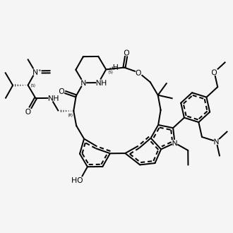 C=[N+](C)[C@H](C(=O)NC[C@H]1Cc2cc(O)cc(c2)-c2ccc3c(c2)c(c(-c2ccc(COC)cc2CN(C)C)n3CC)CC(C)(C)COC(=O)[C@@H]2CCCN(N2)C1=O)C(C)C